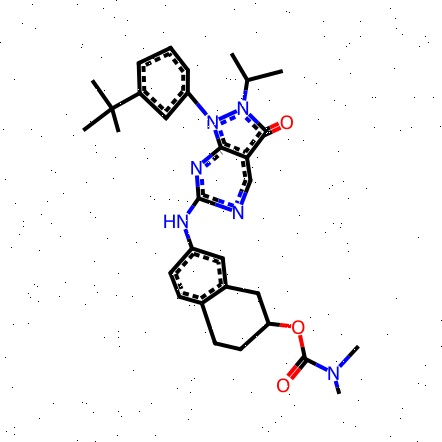 CC(C)n1c(=O)c2cnc(Nc3ccc4c(c3)CC(OC(=O)N(C)C)CC4)nc2n1-c1cccc(C(C)(C)C)c1